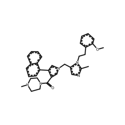 COc1ccccc1CCn1c(Cn2cc(C(=O)N3CCN(C)CC3)c(-c3cccc4ccccc34)c2)cnc1C